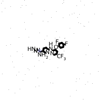 N=N/N=C(\N)c1ccc(Nc2ncc(C(F)(F)F)cc2Oc2ccc(F)cc2F)nc1